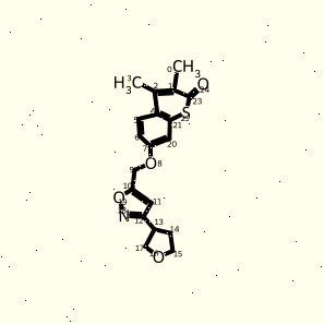 Cc1c(C)c2ccc(OCc3cc(C4CCOC4)no3)cc2sc1=O